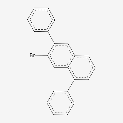 Brc1cc2c(-c3ccccc3)cccc2cc1-c1ccccc1